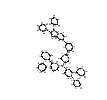 c1ccc(-c2ccc(N(c3ccc(-c4cccc(-c5ccc6c(c5)nc(-c5ccccc5)n6-c5ccccc5)c4)cc3)c3ccc(-c4ccccc4)c(-c4ccccc4)c3)cc2-c2ccccc2)cc1